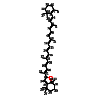 CC1=C(/C=C/C(C)=C/C=C/C(C)=C/C=C/C=C(C)/C=C/C=C(\C)C2C=C3C(C)(C)CCCC3(C)O2)C(C)(C)CCC1